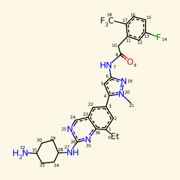 CCc1cc(-c2cc(NC(=O)Cc3cc(F)ccc3C(F)(F)F)nn2C)cc2cnc(NC3CCC(N)CC3)nc12